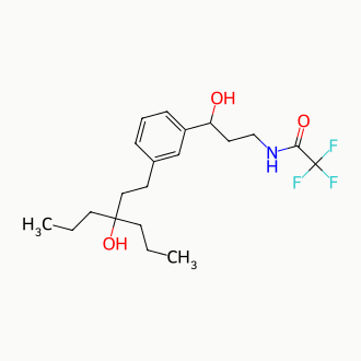 CCCC(O)(CCC)CCc1cccc(C(O)CCNC(=O)C(F)(F)F)c1